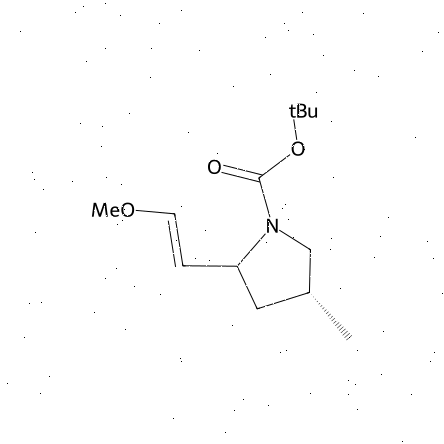 COC=CC1C[C@@H](C)CN1C(=O)OC(C)(C)C